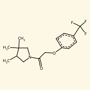 CC1CN(C(=O)COc2ccc(C(F)(F)F)cc2)CC1(C)C